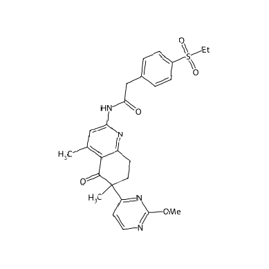 CCS(=O)(=O)c1ccc(CC(=O)Nc2cc(C)c3c(n2)CCC(C)(c2ccnc(OC)n2)C3=O)cc1